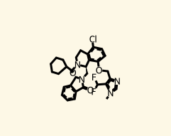 Cn1cnc(COc2ccc(Cl)c3c2[C@@H](CN2Cc4ccccc4C2=O)N(C(=O)C2CCCCC2)CC3)c1C(F)F